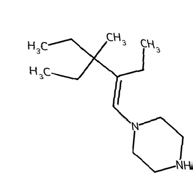 CC/C(=C\N1CCNCC1)C(C)(CC)CC